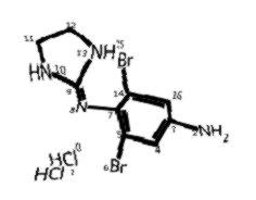 Cl.Cl.Nc1cc(Br)c(N=C2NCCN2)c(Br)c1